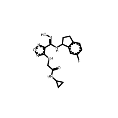 O=C(CNc1nonc1/C(=N\O)NC1CCc2ccc(F)cc21)NC1CC1